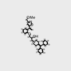 C=C(c1cc(COC)no1)c1ccccc1OCC(O)CN1CCC(=C(c2ccccc2)c2ccccc2)CC1